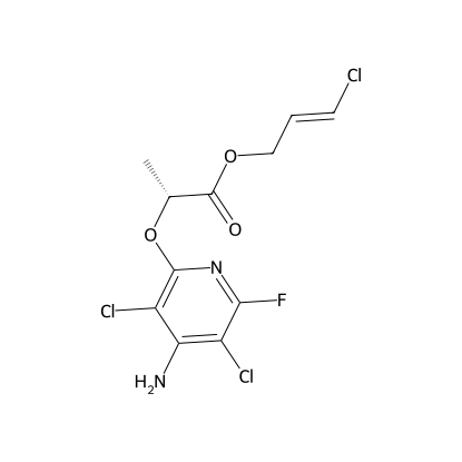 C[C@@H](Oc1nc(F)c(Cl)c(N)c1Cl)C(=O)OC/C=C/Cl